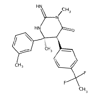 Cc1cccc([C@@]2(C)NC(=N)N(C)C(=O)[C@H]2c2ccc(C(C)(F)F)cc2)c1